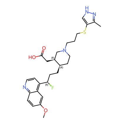 COc1ccc2nccc([C@H](F)CC[C@@H]3CCN(CCCSc4c[nH]nc4C)C[C@@H]3CC(=O)O)c2c1